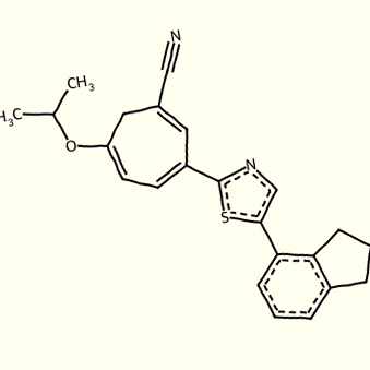 CC(C)OC1=CC=C(c2ncc(-c3cccc4c3CCC4)s2)C=C(C#N)C1